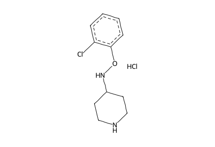 Cl.Clc1ccccc1ONC1CCNCC1